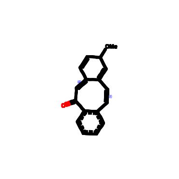 COC1C=C/C2=C/C(=O)c3ccccc3/C=C\C2=C1